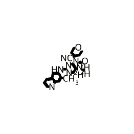 [2H]C([2H])([2H])n1c(=O)n(C2(C#N)CCOCC2)c2nc(Nc3cc4cccnc4cc3C)ncc21